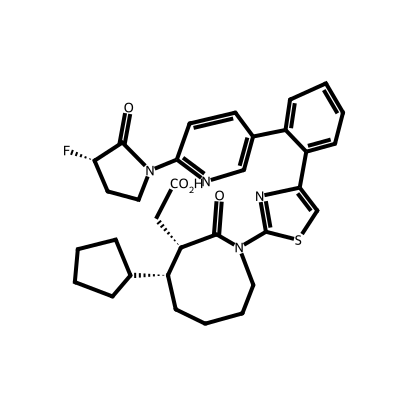 O=C(O)C[C@@H]1C(=O)N(c2nc(-c3ccccc3-c3ccc(N4CC[C@H](F)C4=O)nc3)cs2)CCCC[C@@H]1C1CCCC1